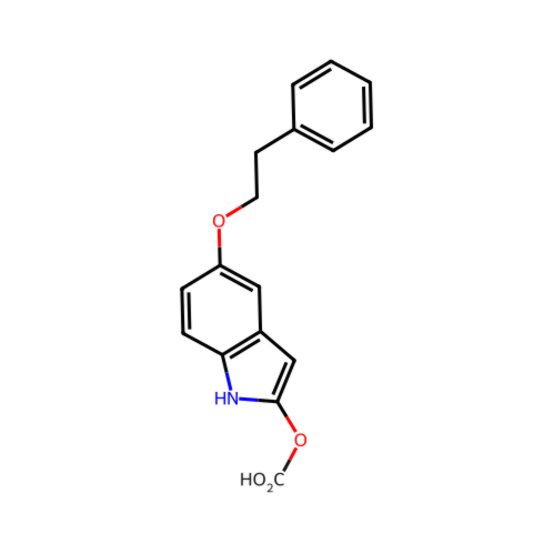 O=C(O)Oc1cc2cc(OCCc3ccccc3)ccc2[nH]1